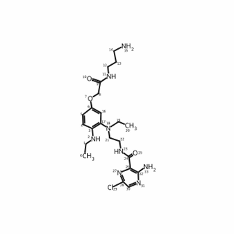 CCNc1ccc(OCC(=O)NCCCN)cc1N(CC)CCNC(=O)c1nc(Cl)cnc1N